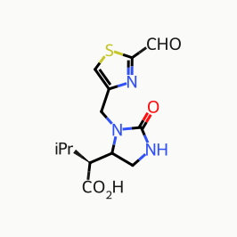 CC(C)[C@H](C(=O)O)C1CNC(=O)N1Cc1csc(C=O)n1